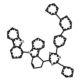 C1=Cc2c(c3ccccc3n2-c2cccc3c2oc2ccccc23)C(c2nc(-c3ccccc3)nc(-c3ccc(-c4cccc(-c5ccccc5)c4)cc3)n2)C1